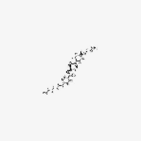 C=CCCCCCCc1ccc(C(=O)Oc2cnc(-c3ccc(OCCCC(C)CC)cc3)cn2)cc1